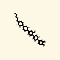 CCCCCC1CCC(C2CCC(c3ccc(C4=CCC(c5ccc(F)c(F)c5)CC4)c(F)c3)CC2)CC1